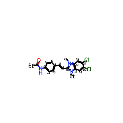 CCC(=O)Nc1ccc(C=Cc2n(CC)c3cc(Cl)c(Cl)cc3[n+]2C)cc1